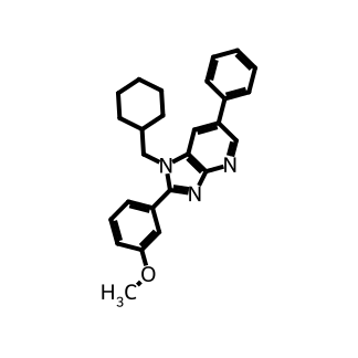 COc1cccc(-c2nc3ncc(-c4ccccc4)cc3n2CC2CCCCC2)c1